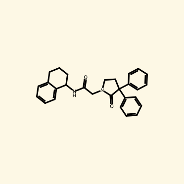 O=C(CN1CCC(c2ccccc2)(c2ccccc2)C1=O)NC1CCCc2ccccc21